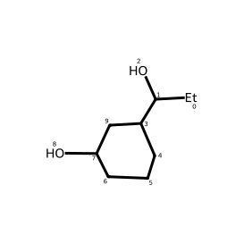 CCC(O)C1CCCC(O)C1